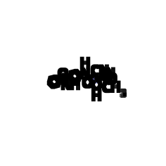 Cc1oncc1/C(O)=C(\C#N)C(=O)Nc1ccc(S(=N)(=O)c2ccccc2)cc1